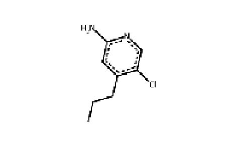 CCCc1cc(N)ncc1Cl